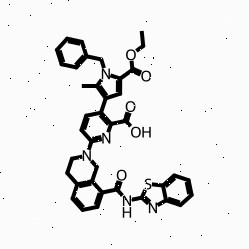 CCOC(=O)c1cc(-c2ccc(N3CCc4cccc(C(=O)Nc5nc6ccccc6s5)c4C3)nc2C(=O)O)c(C)n1Cc1ccccc1